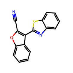 N#Cc1oc2cc[c]cc2c1-c1nc2ccccc2s1